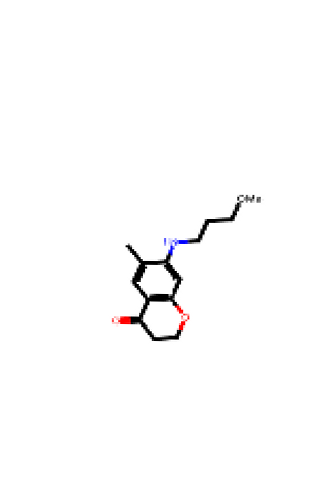 COCCCNc1cc2c(cc1C)C(=O)CCO2